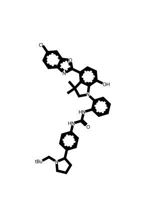 CC(C)(C)CN1CCCC1c1ccc(NC(=O)Nc2ccccc2N2CC(C)(C)c3c(-c4nc5ccc(Cl)cc5o4)ccc(O)c32)cc1